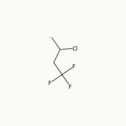 [CH2]C(Cl)CC(F)(F)F